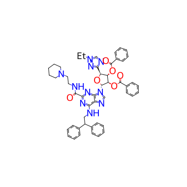 CCn1cnc([C@@H]2O[C@@H](n3cnc4c(NCC(c5ccccc5)c5ccccc5)nc(C(=O)NCCN5CCCCC5)nc43)[C@H](OC(=O)c3ccccc3)[C@@H]2OC(=O)c2ccccc2)n1